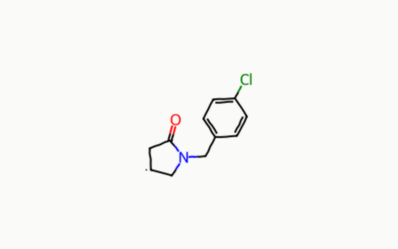 O=C1C[CH]CN1Cc1ccc(Cl)cc1